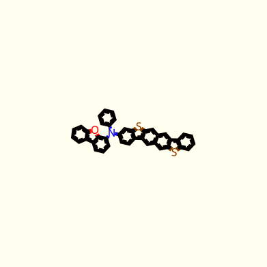 c1ccc(N(c2ccc3c(c2)sc2cc4cc5c(cc4cc23)sc2ccccc25)c2cccc3c2oc2ccccc23)cc1